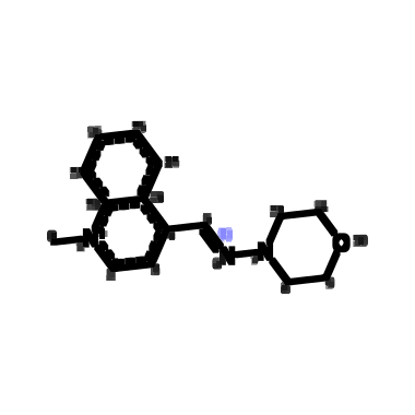 C[n+]1ccc(/C=N/N2CCOCC2)c2ccccc21